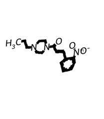 CCCN1CCN(C(=O)C=Cc2ccccc2[N+](=O)[O-])CC1